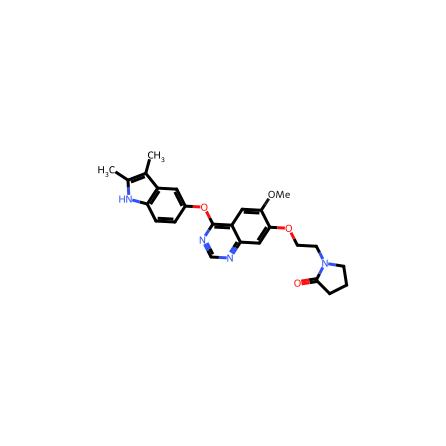 COc1cc2c(Oc3ccc4[nH]c(C)c(C)c4c3)ncnc2cc1OCCN1CCCC1=O